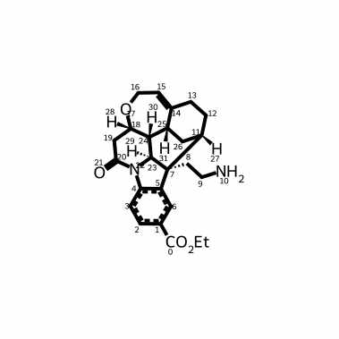 CCOC(=O)c1ccc2c(c1)[C@]1(CCN)[C@H]3CCC4=CCO[C@H]5CC(=O)N2[C@H]1[C@H]5[C@H]4C3